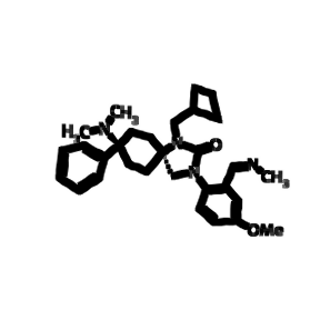 C/N=C\c1cc(OC)ccc1N1C[C@]2(CC[C@](c3ccccc3)(N(C)C)CC2)N(CC2CCC2)C1=O